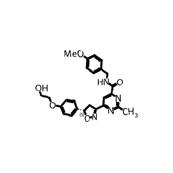 COc1ccc(CNC(=O)c2cc(C3=NO[C@H](c4ccc(OCCO)cc4)C3)nc(C)n2)cc1